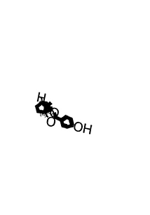 CC1(C)[C@@H]2CC[C@@]1(C)[C@@H](OC(=O)c1ccc(O)cc1)C2